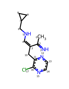 CC(=N)/C(=C\NCC1CC1)Cc1nccnc1Cl